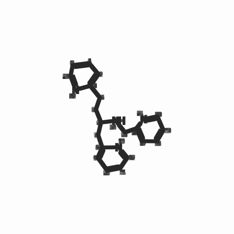 c1ccc(CCC(Cc2ccccn2)NCc2ccccn2)nc1